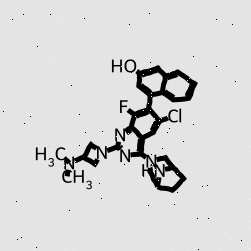 CN(C)C1CN(c2nc(N3CC4CCC(C3)N4)c3cc(Cl)c(-c4cc(O)cc5ccccc45)c(F)c3n2)C1